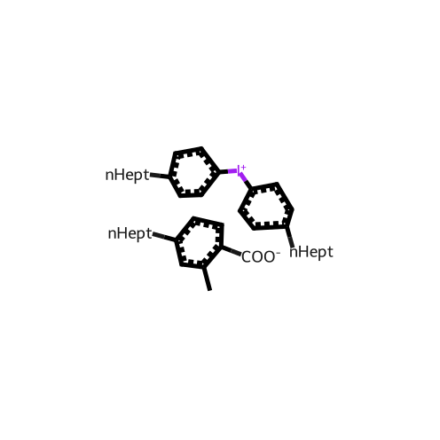 CCCCCCCc1ccc(C(=O)[O-])c(C)c1.CCCCCCCc1ccc([I+]c2ccc(CCCCCCC)cc2)cc1